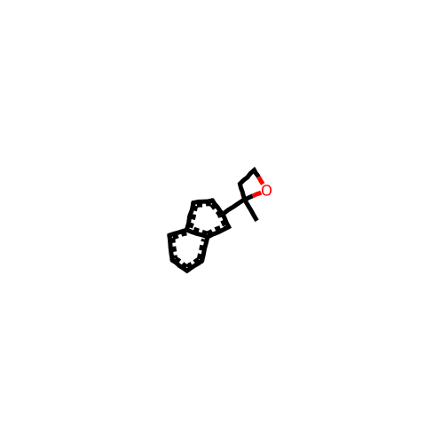 CC1(c2ccc3ccccc3c2)CCO1